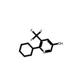 Oc1cnc(C2CCCCC2)c(C(F)(F)F)c1